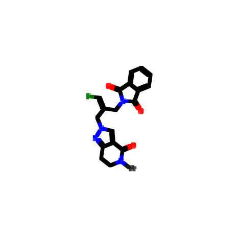 CC(C)N1CCc2nn(CC(=CF)CN3C(=O)c4ccccc4C3=O)cc2C1=O